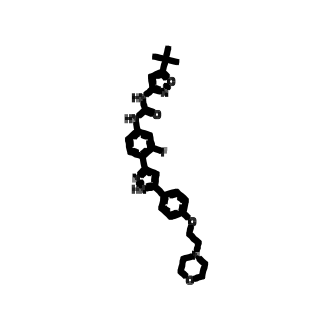 CC(C)(C)c1cc(NC(=O)Nc2ccc(-c3cc(-c4ccc(OCCN5CCOCC5)cc4)[nH]n3)c(F)c2)no1